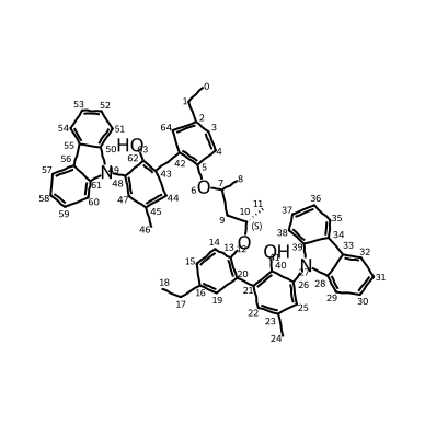 CCc1ccc(OC(C)C[C@H](C)Oc2ccc(CC)cc2-c2cc(C)cc(-n3c4ccccc4c4ccccc43)c2O)c(-c2cc(C)cc(-n3c4ccccc4c4ccccc43)c2O)c1